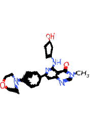 Cn1cnc2cc(-c3ccc(N4CCOCC4)cc3)nc(N[C@@H]3CC[C@@H](O)C3)c2c1=O